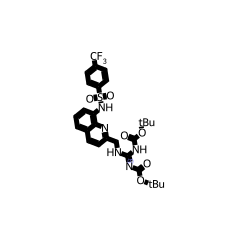 CC(C)(C)OC(=O)/N=C(/NCc1ccc2cccc(NS(=O)(=O)c3ccc(C(F)(F)F)cc3)c2n1)NC(=O)OC(C)(C)C